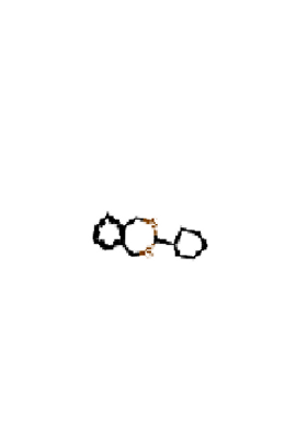 c1ccc2c(c1)CSC(C1CCCCC1)SC2